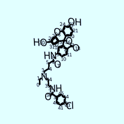 CCN(CCCC(=O)Nc1ccc2c(c1)C1(OC2=O)c2ccc(O)cc2Oc2cc(O)ccc21)CCNC(=O)c1ccc(Cl)cc1